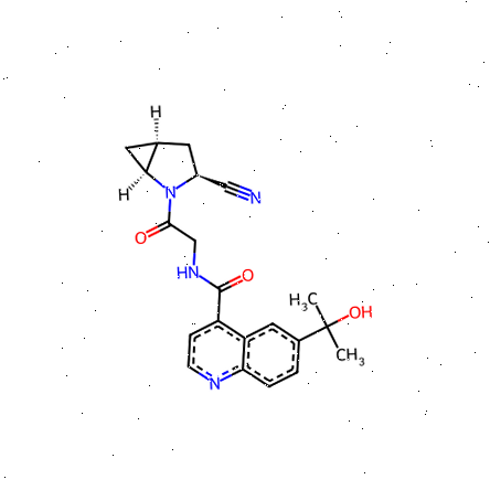 CC(C)(O)c1ccc2nccc(C(=O)NCC(=O)N3[C@H](C#N)C[C@@H]4C[C@@H]43)c2c1